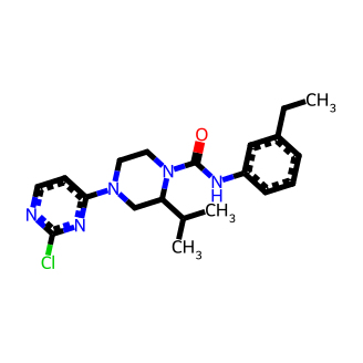 CCc1cccc(NC(=O)N2CCN(c3ccnc(Cl)n3)CC2C(C)C)c1